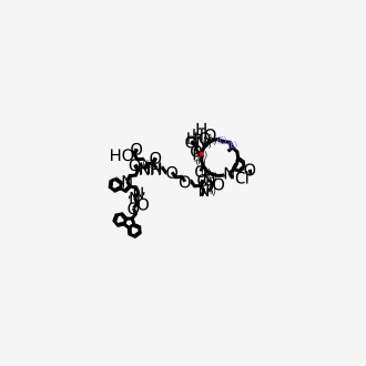 COc1cc2cc(c1Cl)N(C)CC[C@H](OC(=O)[C@H](C)N(C)C(=O)CCOCCOCCNC(=O)[C@H](CCC(=O)O)NC(=O)CCn1c(CN(C)N(C)C(=O)OCC3c4ccccc4-c4ccccc43)cc3ccccc31)[C@]1(C)OC1[C@H](C)[C@@H]1C[C@@](O)(NC(=O)O1)[C@H](O)/C=C/C=C(\C)C2